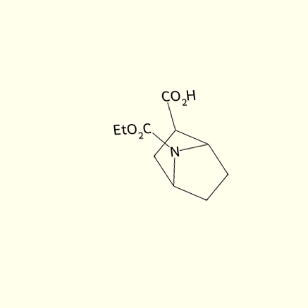 CCOC(=O)N1C2CCC1C(C(=O)O)C2